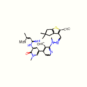 CN/C(C)=C\C(=N)Nc1cc(-c2ccnc(N(C)/N=C\c3c(C=O)sc4c3CC(C)(C)C4)c2C=O)cn(C)c1=O